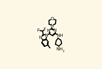 Cc1ccc2nc(C(F)F)n(-c3cc(N[C@H]4CC[C@H](N)CC4)nc(N4CCOCC4)n3)c2c1